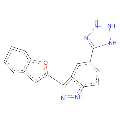 c1ccc2oc(-c3n[nH]c4ccc(C5=NNNN5)cc34)cc2c1